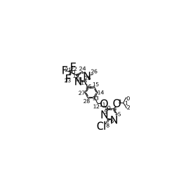 CC(C)Oc1cnc(Cl)nc1OCc1ccc(-c2nc(C(F)(F)F)cn2C)cc1